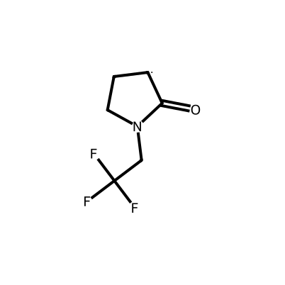 O=C1[CH]CCN1CC(F)(F)F